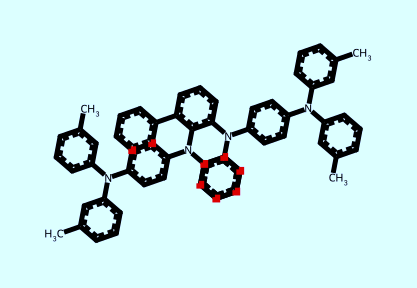 Cc1cccc(N(c2ccc(N(c3ccccc3)c3cccc(-c4ccccc4)c3N(c3ccccc3)c3ccc(N(c4cccc(C)c4)c4cccc(C)c4)cc3)cc2)c2cccc(C)c2)c1